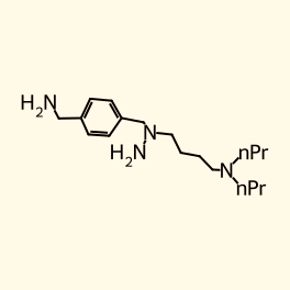 CCCN(CCC)CCCCN(N)Cc1ccc(CN)cc1